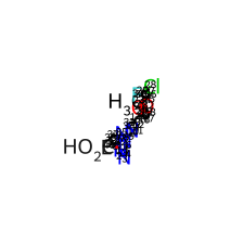 CCn1cncc1Cn1c(CN2CCC(Cc3cccc4c3O[C@@](C)(c3ccc(Cl)cc3F)O4)CC2)nc2ccc(C(=O)O)cc21